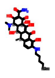 CCCCCCCCCCCCCCNc1ccc2c(c1O)C(=O)C1=C(O)[C@]3(O)C(=O)C(C(N)=O)=C(O)[C@@H](N(C)C)C3[C@@H](O)C1[C@H]2C